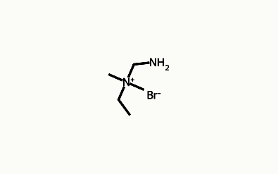 CC[N+](C)(C)CN.[Br-]